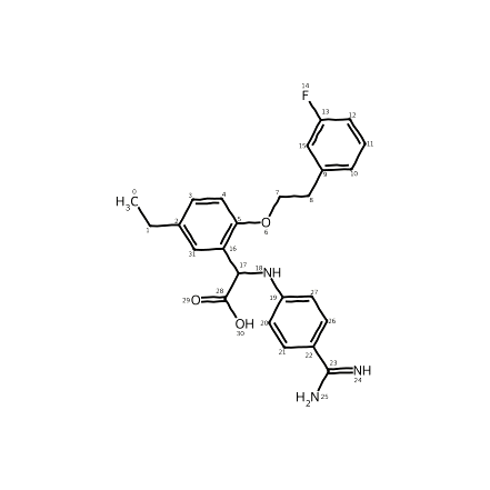 CCc1ccc(OCCc2cccc(F)c2)c(C(Nc2ccc(C(=N)N)cc2)C(=O)O)c1